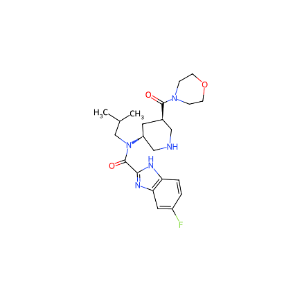 CC(C)CN(C(=O)c1nc2cc(F)ccc2[nH]1)[C@@H]1CNC[C@H](C(=O)N2CCOCC2)C1